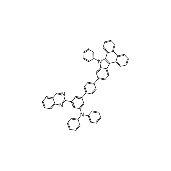 c1ccc(N(c2ccccc2)c2cc(-c3ccc(-c4ccc5c6c7ccccc7c7ccccc7c6n(-c6ccccc6)c5c4)cc3)cc(-c3ncc4ccccc4n3)c2)cc1